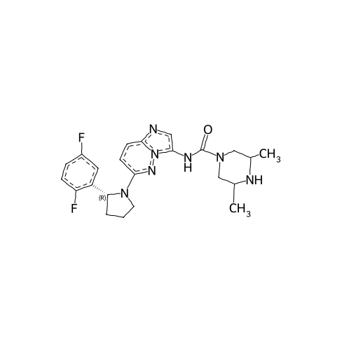 CC1CN(C(=O)Nc2cnc3ccc(N4CCC[C@@H]4c4cc(F)ccc4F)nn23)CC(C)N1